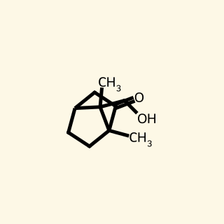 CC12CCC(CC1=O)C2(C)CO